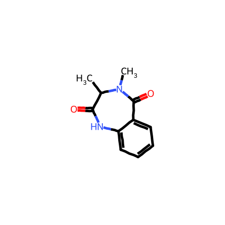 CC1C(=O)Nc2ccccc2C(=O)N1C